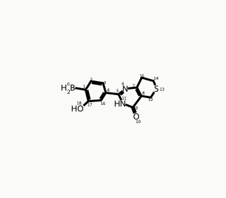 Bc1ccc(-c2nc3c(c(=O)[nH]2)CSCC3)cc1O